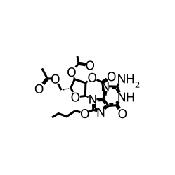 CCCCOc1nc2c(=O)[nH]c(N)nc2n1[C@@H]1O[C@H](COC(C)=O)[C@H](OC(C)=O)[C@H]1OC(C)=O